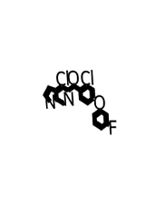 O=C(C1=NCC2=NC=CC2=C1Cl)c1ccc(Oc2cccc(F)c2)cc1Cl